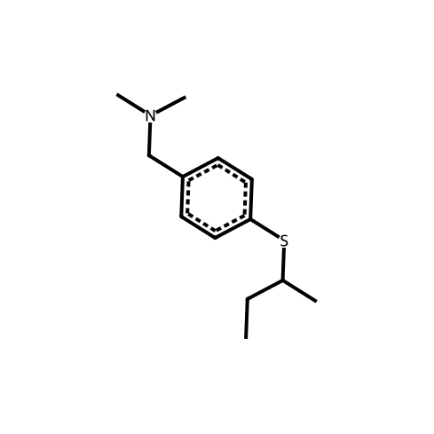 CCC(C)Sc1ccc(CN(C)C)cc1